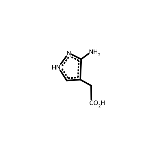 Nc1n[nH]cc1CC(=O)O